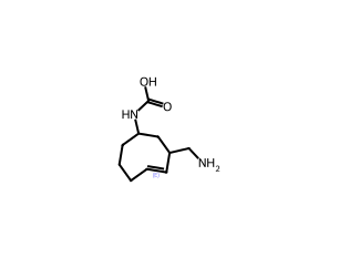 NCC1/C=C/CCCC(NC(=O)O)C1